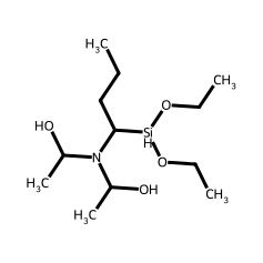 CCCC(N(C(C)O)C(C)O)[SiH](OCC)OCC